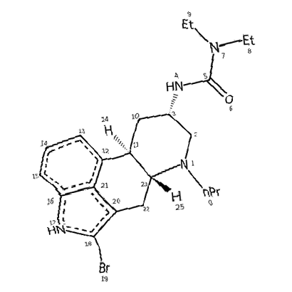 CCCN1C[C@@H](NC(=O)N(CC)CC)C[C@@H]2c3cccc4[nH]c(Br)c(c34)C[C@H]21